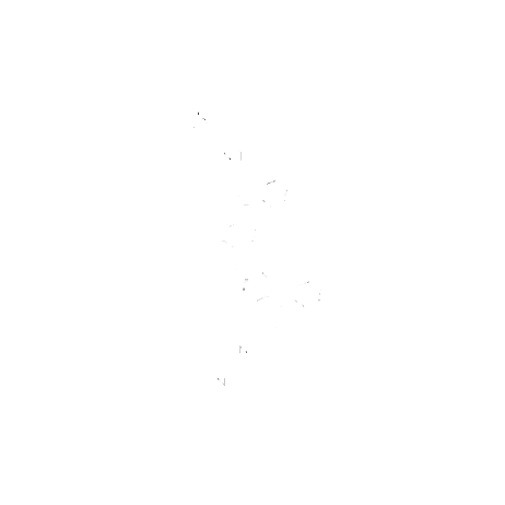 NCCNCCOB(c1ccccc1)c1ccc(Oc2ccc(B(OCCNCCN)c3ccccc3)cc2)cc1